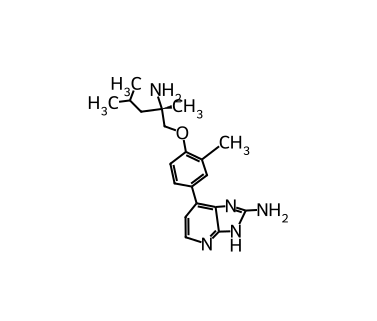 Cc1cc(-c2ccnc3[nH]c(N)nc23)ccc1OC[C@@](C)(N)CC(C)C